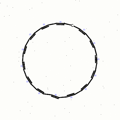 [C]1=C/C=C\C=C/C=C\C=C/C=C\C=C/C=C/C=C\C=C/C=C\C=C/C=C\C=C/C\1